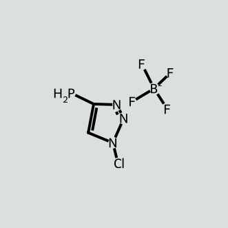 F[B-](F)(F)F.Pc1cn(Cl)nn1